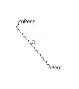 CCCCCC=CCC=CCCCCCCCC(=O)[CH]CCCCCCC/C=C\C/C=C\CCCCC